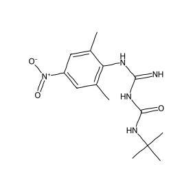 Cc1cc([N+](=O)[O-])cc(C)c1NC(=N)NC(=O)NC(C)(C)C